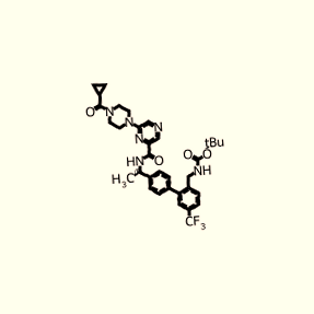 C[C@@H](NC(=O)c1cncc(N2CCN(C(=O)C3CC3)CC2)n1)c1ccc(-c2cc(C(F)(F)F)ccc2CNC(=O)OC(C)(C)C)cc1